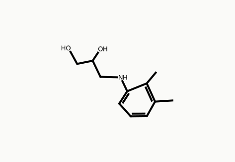 Cc1cccc(NCC(O)CO)c1C